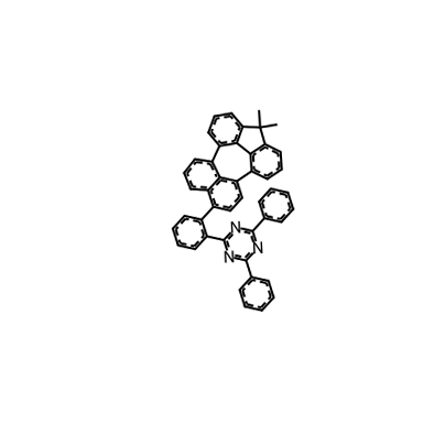 CC1(C)c2cccc3c2-c2c(cccc21)-c1ccc(-c2ccccc2-c2nc(-c4ccccc4)nc(-c4ccccc4)n2)c2cccc-3c12